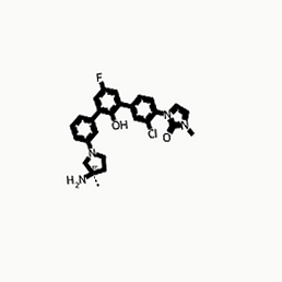 Cn1ccn(-c2ccc(-c3cc(F)cc(-c4cccc(N5CC[C@@](C)(N)C5)c4)c3O)cc2Cl)c1=O